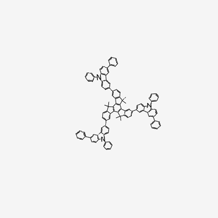 CC1(C)c2ccc(-c3ccc4c(c3)c3cc(-c5ccccc5)ccc3n4-c3ccccc3)cc2-c2c1c1c(c3c2C(C)(C)c2ccc(-c4ccc5c(c4)c4cc(-c6ccccc6)ccc4n5-c4ccccc4)cc2-3)C(C)(C)c2ccc(-c3ccc4c(c3)c3cc(-c5ccccc5)ccc3n4-c3ccccc3)cc2-1